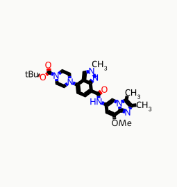 COc1cc(NC(=O)c2ccc(N3CCN(C(=O)OC(C)(C)C)CC3)c3cn(C)nc23)cn2c(C)c(C)nc12